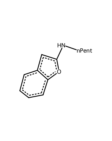 CCCCCNc1cc2ccccc2o1